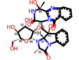 C[C@H]1C(=O)N2c3ccccc3[C@@](O)(C[C@H]3C(=O)N[C@](C)(O)c4nc5ccccc5c(=O)n43)[C@H]2N1[C@@H]1O[C@H](CO)[C@@H](O)[C@H](O)[C@H]1O